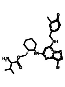 CC(C)C(N)C(=O)OC[C@@H]1CCCC[C@@H]1Nc1cc(NCc2ccc(=O)n(C)c2)n2ncc(Br)c2n1